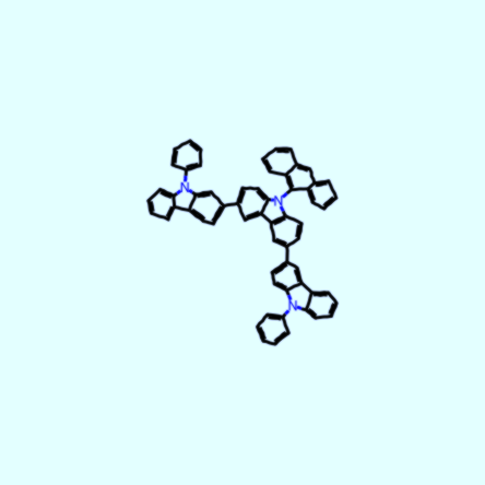 c1ccc(-n2c3ccccc3c3cc(-c4ccc5c(c4)c4cc(-c6ccc7c8ccccc8n(-c8ccccc8)c7c6)ccc4n5-c4c5ccccc5cc5ccccc45)ccc32)cc1